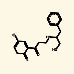 O=C(CCNC(CO)Cc1ccccc1)C1=CC(Cl)=CCC1=S